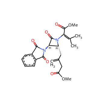 C=C(CC(=O)OC)C[C@@H]1[C@@H](N2C(=O)c3ccccc3C2=O)C(=O)N1C(C(=O)OC)=C(C)C